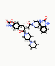 O=C1Nc2ccccc2C2(CCN(C(=O)CC(Cc3ccc4[nH]c(=O)oc4c3)C(=O)N3CCC(N4CCCCC4)CC3)CC2)N1